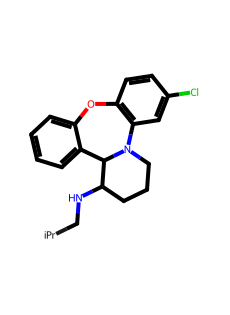 CC(C)CNC1CCCN2c3cc(Cl)ccc3Oc3ccccc3C12